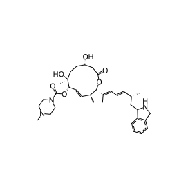 C/C(=C\C=C\[C@H](C)CC1NCc2ccccc21)[C@H]1OC(=O)C[C@@H](O)CC[C@](C)(O)[C@@H](OC(=O)N2CCN(C)CC2)/C=C/[C@@H]1C